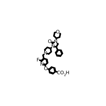 O=C(O)c1ccc(Oc2ccc(CN3CCC(N4C(=O)N(C5CCOCC5)CC4c4ccccc4)CC3)c(F)n2)cc1